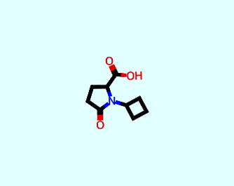 O=C(O)C1CCC(=O)N1C1CCC1